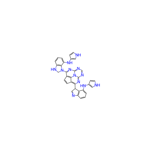 C1=Nc2cccc(Nc3cc[nH]c3)c2C1c1nc2ncnc3nc(N4CNc5cccc(Nc6cc[nH]c6)c54)c4ccc1c4n23